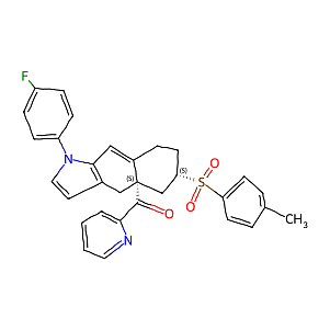 Cc1ccc(S(=O)(=O)[C@H]2CCC3=Cc4c(ccn4-c4ccc(F)cc4)C[C@]3(C(=O)c3ccccn3)C2)cc1